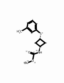 Cc1cccc(S[C@H]2C[C@H](NC(=O)OC(C)(C)C)C2)c1